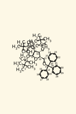 CC(C)(C)[Si](C)(C)O[C@@H]1O[C@H](COC(c2ccccc2)(c2ccccc2)c2ccccc2)[C@@H](O[Si](C)(C)C(C)(C)C)[C@H]1O[Si](C)(C)C(C)(C)C